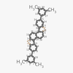 Cc1cc(C)cc(-c2ccc3c(c2)sc2ccc4c(ccc5sc6cc(-c7cc(C)cc(C)c7)ccc6c54)c23)c1